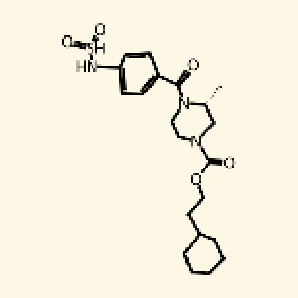 C[C@@H]1CN(C(=O)OCCC2CCCCC2)CCN1C(=O)c1ccc(N[SH](=O)=O)cc1